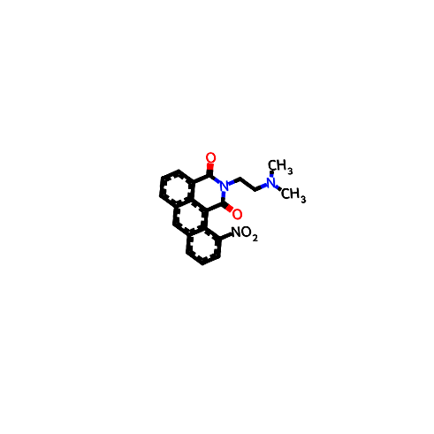 CN(C)CCN1C(=O)c2cccc3cc4cccc([N+](=O)[O-])c4c(c23)C1=O